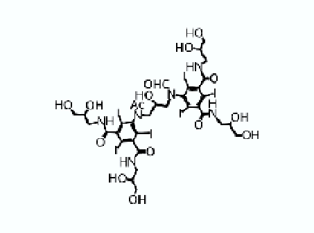 CC(=O)N(CC(O)CN(C=O)c1c(I)c(C(=O)NCC(O)CO)c(I)c(C(=O)NCC(O)CO)c1I)c1c(I)c(C(=O)NCC(O)CO)c(I)c(C(=O)NCC(O)CO)c1I